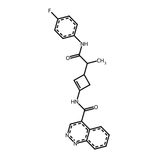 CC(C(=O)Nc1ccc(F)cc1)C1C=C(NC(=O)c2cnnc3ccccc23)C1